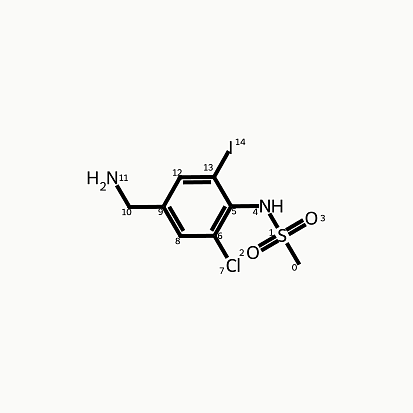 CS(=O)(=O)Nc1c(Cl)cc(CN)cc1I